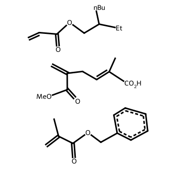 C=C(C)C(=O)OCc1ccccc1.C=C(CC=C(C)C(=O)O)C(=O)OC.C=CC(=O)OCC(CC)CCCC